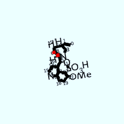 C=C[C@H]1CN2CC[C@H]1C[C@H]2[C@H](OS(=O)(=O)O)c1ccnc2ccc(OC)cc12